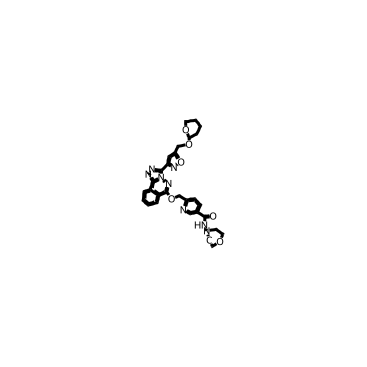 O=C(NN1CCOCC1)c1ccc(COc2nn3c(-c4cc(COC5CCCCO5)on4)nnc3c3ccccc23)nc1